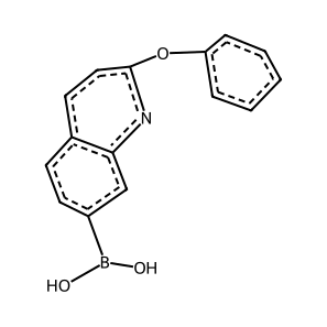 OB(O)c1ccc2ccc(Oc3ccccc3)nc2c1